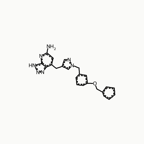 Nc1cc(Cc2cnn(Cc3cccc(OCc4ccccc4)c3)c2)c2nn[nH]c2n1